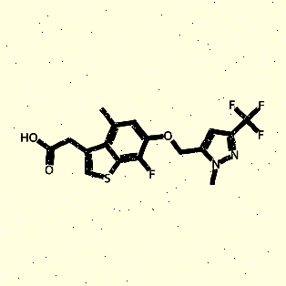 Cc1cc(OCc2cc(C(F)(F)F)nn2C)c(F)c2scc(CC(=O)O)c12